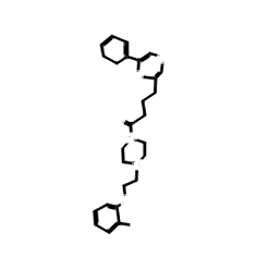 Cc1ccccc1OCCN1CCN(C(=O)CCCC2=COC=C(C3=CC=CCC3)O2)CC1